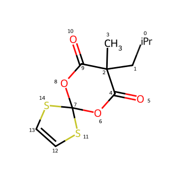 CC(C)CC1(C)C(=O)OC2(OC1=O)SC=CS2